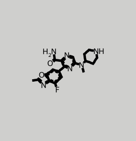 Cc1nc2c(F)cc(-c3nc(N(C)C4CCNCC4)cnc3C(N)=O)cc2o1